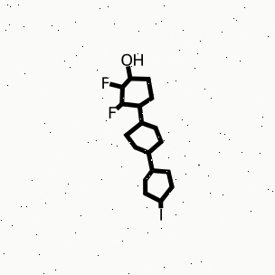 OC1CCC(C2CCC(C3CCC(I)CC3)CC2)C(F)C1F